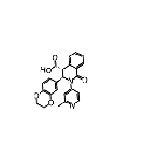 Cc1cc(N2C(=O)c3ccccc3[C@@H](C(=O)O)[C@@H]2c2ccc3c(c2)OCCO3)ccn1